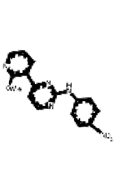 COc1ncccc1-c1ccnc(Nc2ccc([N+](=O)[O-])cc2)n1